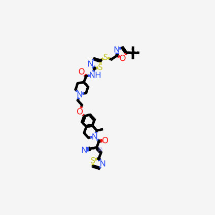 CC1c2ccc(OCCN3CCC(C(=O)Nc4ncc(SCc5ncc(C(C)(C)C)o5)s4)CC3)cc2CCN1C(=O)/C(C#N)=C/c1nccs1